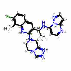 Cc1c(F)ccc2cc([C@H](C)Nc3ccnc4ccnn34)c(N3CCn4cnnc4C3)nc12